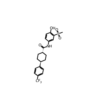 CS(=O)(=O)c1cc(NC(=O)[C@H]2CC[C@H](c3ccc(C(F)(F)F)cc3)CC2)ccc1O